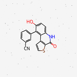 N#Cc1cccc(-c2c(O)ccc3[nH]c(=O)c4sccc4c23)c1